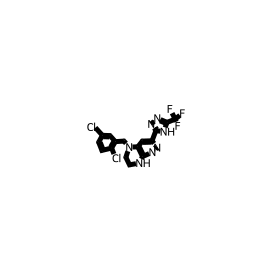 FC(F)(F)c1nnc(-c2cc3c(nn2)NCCN3Cc2cc(Cl)ccc2Cl)[nH]1